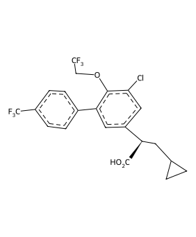 O=C(O)[C@H](CC1CC1)c1cc(Cl)c(OCC(F)(F)F)c(-c2ccc(C(F)(F)F)cc2)c1